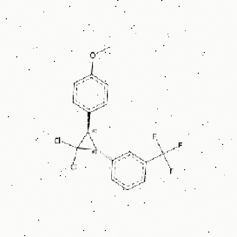 COc1ccc([C@H]2[C@H](c3cccc(C(F)(F)F)c3)C2(Cl)Cl)cc1